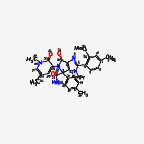 COc1ccc(-c2nc3c(n2C(C)C)C2(C(=O)Nc4cc(C)ccc42)N(c2cc(C)cn(C)c2=O)C3=O)c(OC)c1